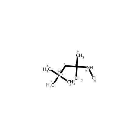 CC(C)(C[PH](C)(C)C)NCl